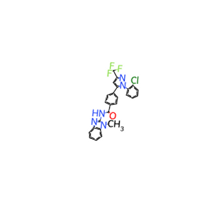 Cn1c(NC(=O)c2ccc(-c3cc(C(F)(F)F)nn3-c3ccccc3Cl)cc2)nc2ccccc21